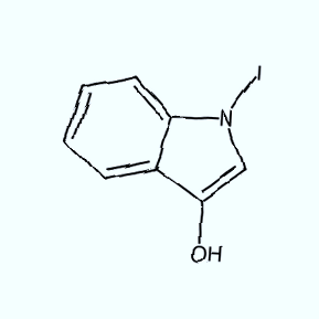 Oc1cn(I)c2ccccc12